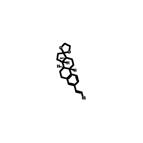 CC/C=C/c1ccc2c(c1)CC[C@@H]1[C@@H]2CC[C@@]2(C)[C@H]1CCC21OCCO1